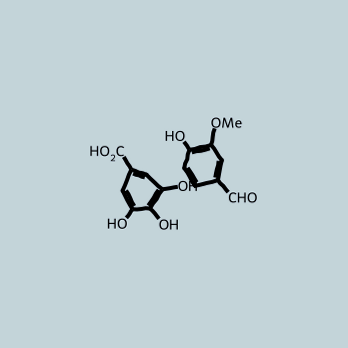 COc1cc(C=O)ccc1O.O=C(O)c1cc(O)c(O)c(O)c1